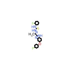 C/C(=N\NC(=S)Nc1ccccc1F)c1nc2cc(Oc3ccc(F)cc3)ccc2[nH]1